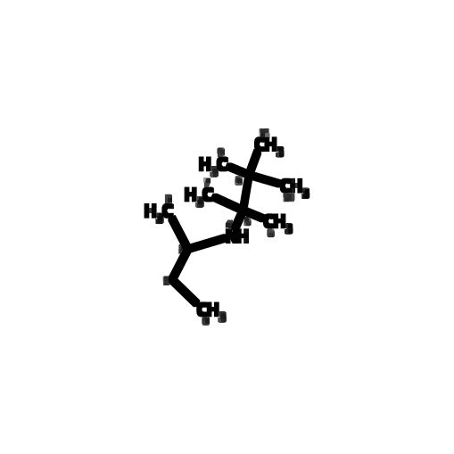 CCC(C)NC(C)(C)C(C)(C)C